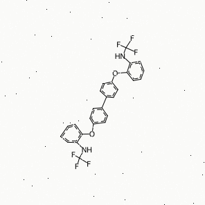 FC(F)(F)Nc1ccccc1Oc1ccc(-c2ccc(Oc3ccccc3NC(F)(F)F)cc2)cc1